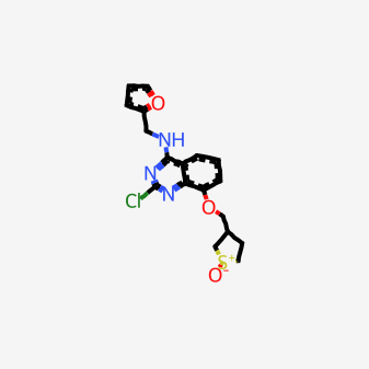 [O-][S+]1CCC(COc2cccc3c(NCc4ccco4)nc(Cl)nc23)C1